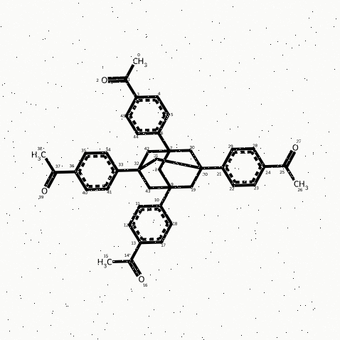 CC(=O)c1ccc(C23CC4(c5ccc(C(C)=O)cc5)CC(c5ccc(C(C)=O)cc5)(C2)CC(c2ccc(C(C)=O)cc2)(C3)C4)cc1